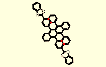 c1ccc(-c2c3ccccc3c(-c3ccccc3)c3c(-c4ccc(-c5nc6ccccc6o5)cc4)c4ccccc4c(-c4ccc(-c5nc6ccccc6o5)cc4)c23)cc1